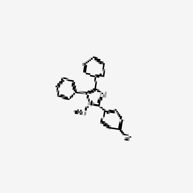 CCCCn1c(-c2ccc(Br)cc2)nc(-c2ccccc2)c1-c1ccccc1